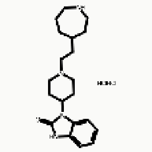 Cl.Cl.O=c1[nH]c2ccccc2n1C1CCN(CCC2CCCNCC2)CC1